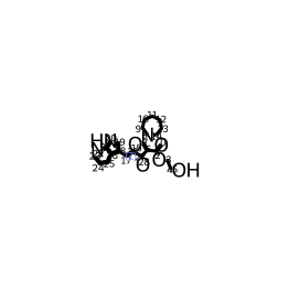 O=C(OCCO)C1=C(N2CCCCCC2)O/C(=C\c2c[nH]c3ncccc23)C1=O